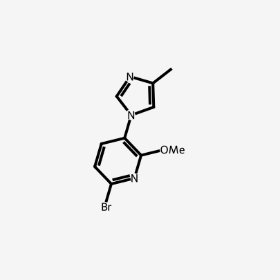 COc1nc(Br)ccc1-n1cnc(C)c1